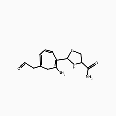 NC(=O)C1CSC(C2=C(N)CC(CC=O)=CC=C2)N1